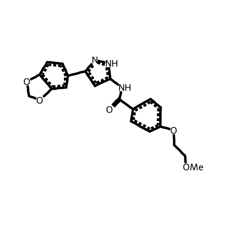 COCCOc1ccc(C(=O)Nc2cc(-c3ccc4c(c3)OCO4)n[nH]2)cc1